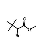 COC(=O)C(Br)C(C)(C)C